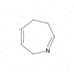 [C]1=CCN=CCC1